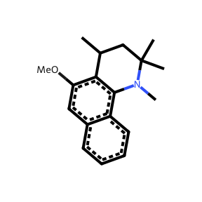 COc1cc2ccccc2c2c1C(C)CC(C)(C)N2C